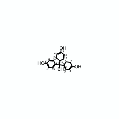 CC(C1=CC=C(O)CC1)(c1ccc(O)cc1)C1C=CC(O)=CC1